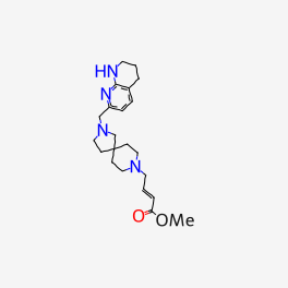 COC(=O)/C=C/CN1CCC2(CC1)CCN(Cc1ccc3c(n1)NCCC3)C2